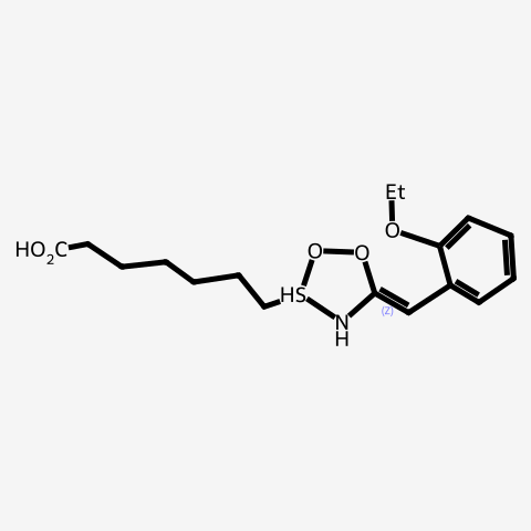 CCOc1ccccc1/C=C1/N[SH](CCCCCCC(=O)O)OO1